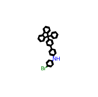 Brc1ccc(Nc2ccc(-c3ccc(C4(c5ccccc5)c5ccccc5-c5ccccc54)cc3)cc2)cc1